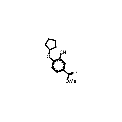 COC(=O)c1ccc(OC2CCCC2)c(C#N)c1